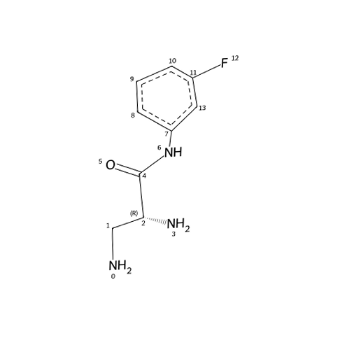 NC[C@@H](N)C(=O)Nc1cccc(F)c1